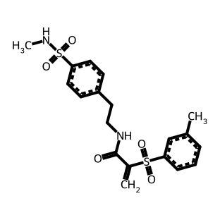 C=C(C(=O)NCCc1ccc(S(=O)(=O)NC)cc1)S(=O)(=O)c1cccc(C)c1